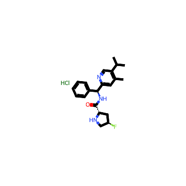 Cc1cc([C@@H](NC(=O)[C@@H]2C[C@@H](F)CN2)c2ccccc2)ncc1C(C)C.Cl